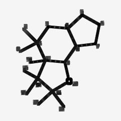 CC1(C)CC2CCCC2C2OC(C)(C)C(C)(C)C21C